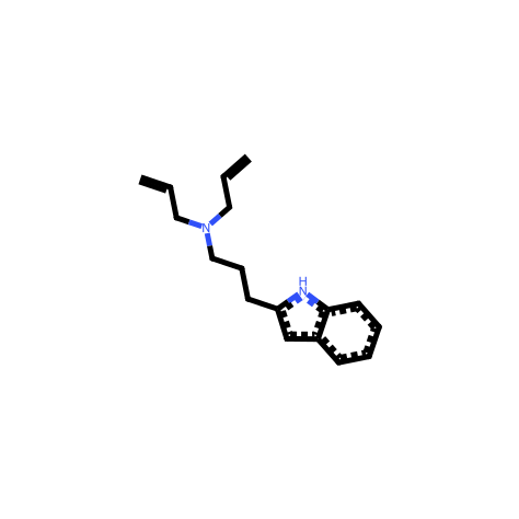 C=CCN(CC=C)CCCc1cc2ccccc2[nH]1